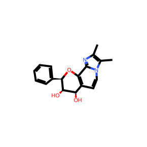 Cc1nc2c3c(ccn2c1C)[C@@H](O)[C@@H](O)[C@@H](c1ccccc1)O3